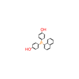 Oc1ccc(P(c2ccc(O)cc2)c2cccc3ccccc23)cc1